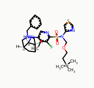 Cc1c(N[C@H]2[C@@H]3CC[C@H]2CN(Cc2ccccc2)C3)cnc(S(=O)(=O)N(COCC[Si](C)(C)C)c2cscn2)c1F